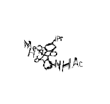 COc1cc(C(C)C)ccc1C1(N)C(=O)c2cccc(NC(C)=O)c2C1=O